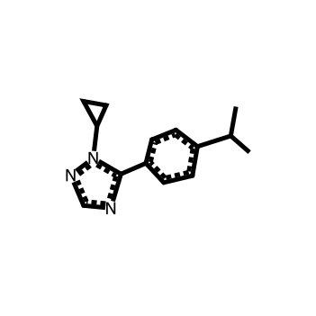 CC(C)c1ccc(-c2ncnn2C2CC2)cc1